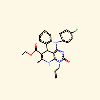 C=CCn1c2c(c(Nc3ccc(Cl)cc3)nc1=O)C(c1ccccc1)C(C(=O)OCC)=C(C)N2